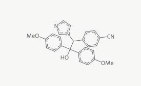 COc1ccc(C(O)(c2ccc(OC)cc2)C(c2ccc(C#N)cc2)n2ccnc2)cc1